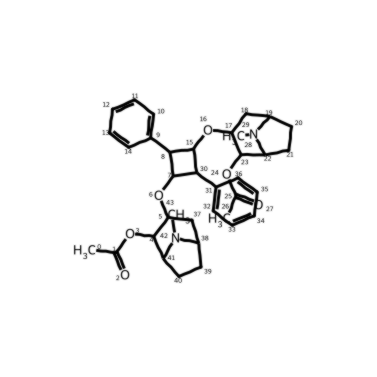 CC(=O)OC1C(OC2C(c3ccccc3)C(OC3CC4CCC(C3OC(C)=O)N4C)C2c2ccccc2)CC2CCC1N2C